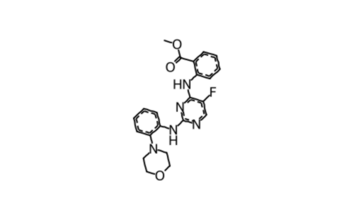 COC(=O)c1ccccc1Nc1nc(Nc2ccccc2N2CCOCC2)ncc1F